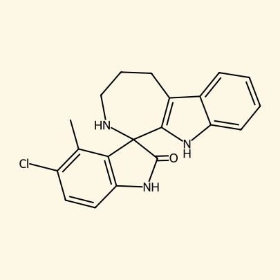 Cc1c(Cl)ccc2c1C1(NCCCc3c1[nH]c1ccccc31)C(=O)N2